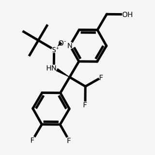 CC(C)(C)[S@@+]([O-])N[C@@](c1ccc(F)c(F)c1)(c1ccc(CO)cn1)C(F)F